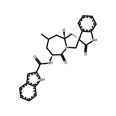 CC1C[C@@H]2C[C@@]3(CN2C(=O)[C@@H](NC(=O)c2cc4ccccc4[nH]2)C1)C(=O)Nc1ccccc13